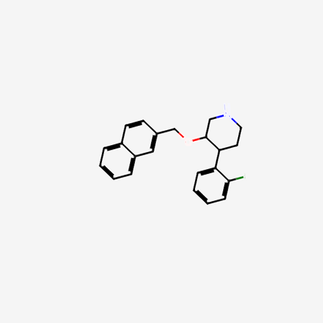 Fc1ccccc1C1CCNCC1OCc1ccc2ccccc2c1